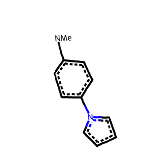 CNc1ccc(-n2cccc2)cc1